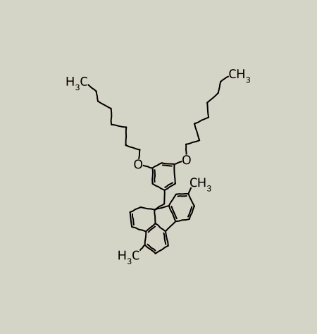 CCCCCCCCOc1cc(CC23CC=Cc4c(C)ccc(c42)-c2ccc(C)cc23)cc(OCCCCCCCC)c1